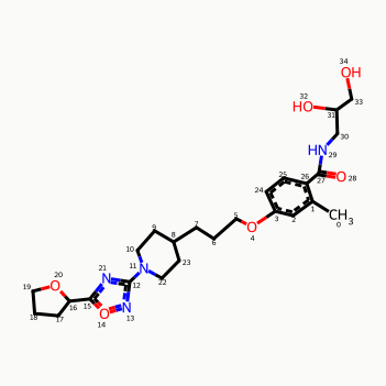 Cc1cc(OCCCC2CCN(c3noc(C4CCCO4)n3)CC2)ccc1C(=O)NCC(O)CO